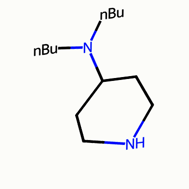 CCCCN(CCCC)C1CCNCC1